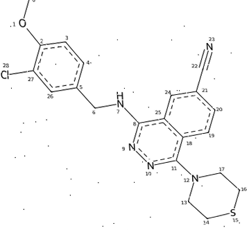 COc1ccc(CNc2nnc(N3CCSCC3)c3ccc(C#N)cc23)cc1Cl